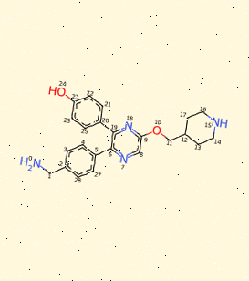 NCc1ccc(-c2ncc(OCC3CCNCC3)nc2-c2ccc(O)cc2)cc1